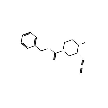 [N-]=[N+]=N[C@@H]1CN(C(=O)OCc2ccccc2)CC[C@H]1F